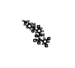 CN1Cc2ccc(NC(=O)c3cc(NC(=O)C4C(c5cc(Cl)cc(Cl)c5)C4(Cl)Cl)ccc3Cl)cc2C1